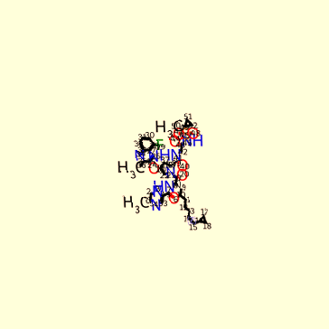 Cc1cnc(C(=O)N[C@@H](CCCCC/C=C\C2CC2)C(=O)N2C[C@H](Oc3nc4c(F)cccc4nc3C)C[C@H]2C(=O)NCC(=O)NS(=O)(=O)C2(C)CC2)cn1